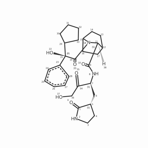 O=C1NCC[C@H]1C[C@H](NC(=O)[C@@H]1C2CCC(CC2)N1C(=O)[C@](O)(c1ccccc1)C1CCCC1)C(=O)CO